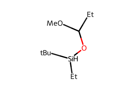 CCC(OC)O[SiH](CC)C(C)(C)C